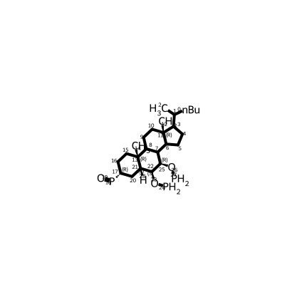 CCCCC(C)C1CCC2C3C(CC[C@]12C)[C@@]1(C)CC[C@@H](P=O)C[C@H]1[C@H](OP)[C@@H]3OP